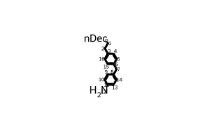 CCCCCCCCCCCCc1ccc(Cc2ccc(N)cc2)cc1